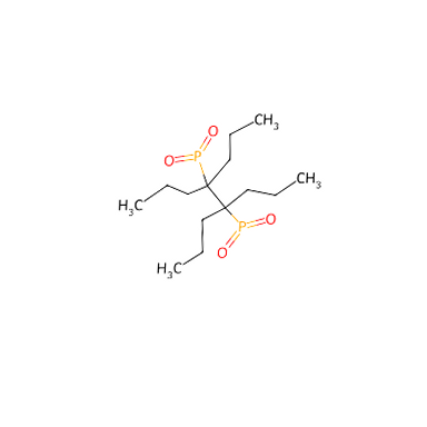 CCCC(CCC)(P(=O)=O)C(CCC)(CCC)P(=O)=O